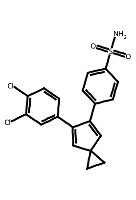 NS(=O)(=O)c1ccc(C2=CC3(C=C2c2ccc(Cl)c(Cl)c2)CC3)cc1